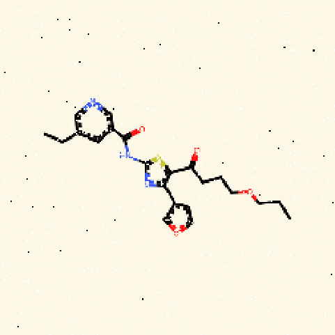 CCCOCCCC(=O)c1sc(NC(=O)c2cncc(CC)c2)nc1-c1ccoc1